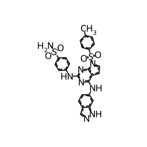 Cc1ccc(S(=O)(=O)n2ccc3c(Nc4ccc5cn[nH]c5c4)nc(Nc4ccc(S(N)(=O)=O)cc4)nc32)cc1